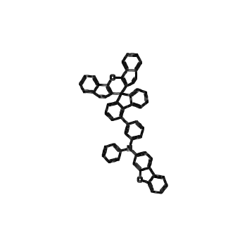 c1ccc(N(c2cccc(-c3cccc4c3-c3ccccc3C43c4ccc5ccccc5c4Oc4c3ccc3ccccc43)c2)c2ccc3c(c2)oc2ccccc23)cc1